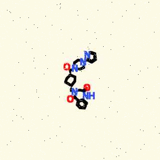 O=C1CN(C[C@H]2CC[C@H](C(=O)N3CCN(c4ccccn4)CC3)CC2)C(=O)c2ccccc2N1